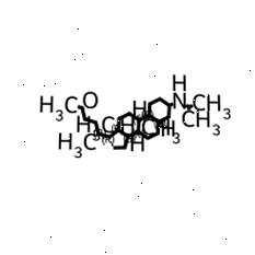 CC(=O)CC[C@@H](C)[C@H]1CC[C@H]2[C@@H]3CC[C@@H]4CC(NC(C)C)CC[C@]4(C)[C@H]3CC[C@]12C